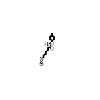 Cc1ccc(ONC(=O)CCCCCCN=C=O)cc1